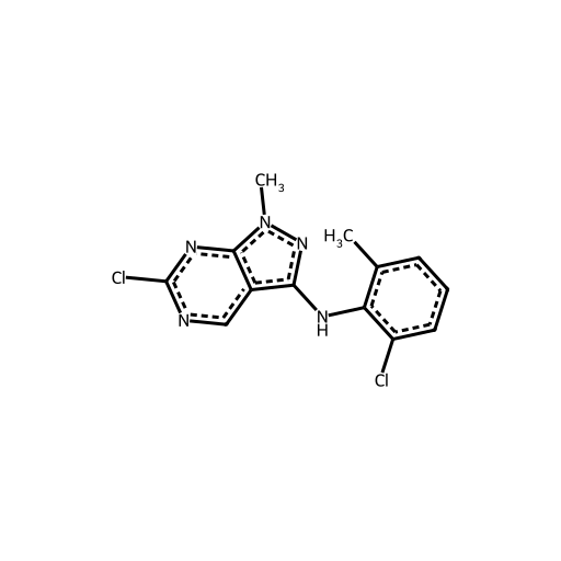 Cc1cccc(Cl)c1Nc1nn(C)c2nc(Cl)ncc12